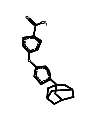 O=C(c1ccc(Oc2ccc(C34CC5CC(CC(C5)C3)C4)cc2)cc1)C(F)(F)F